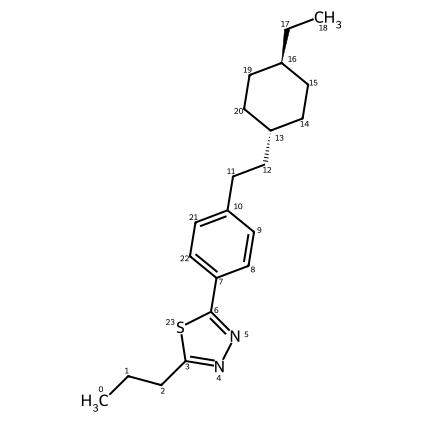 CCCc1nnc(-c2ccc(CC[C@H]3CC[C@H](CC)CC3)cc2)s1